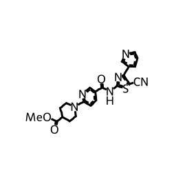 COC(=O)C1CCN(c2ccc(C(=O)Nc3nc(-c4cccnc4)c(C#N)s3)cn2)CC1